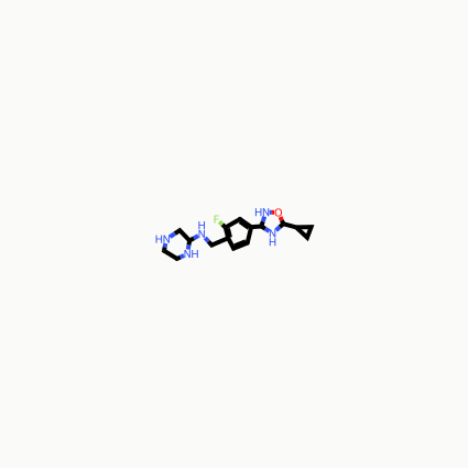 Fc1cc(C2NOC(C3CC3)N2)ccc1CNC1CNCCN1